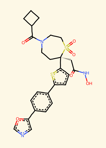 O=C(C[C@]1(c2ccc(-c3ccc(-c4cnco4)cc3)s2)CCN(C(=O)C2CCC2)CCS1(=O)=O)NO